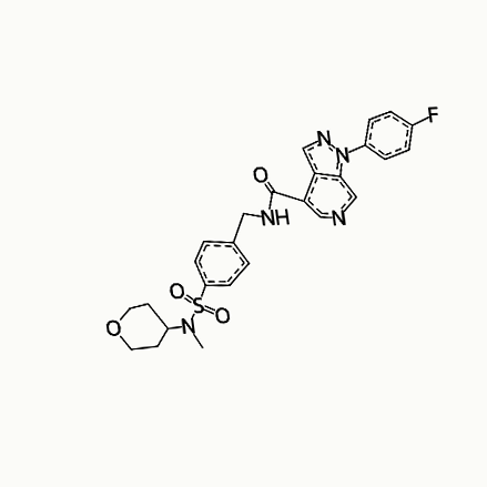 CN(C1CCOCC1)S(=O)(=O)c1ccc(CNC(=O)c2cncc3c2cnn3-c2ccc(F)cc2)cc1